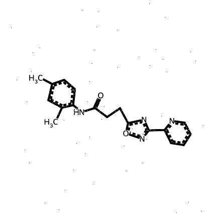 Cc1ccc(NC(=O)CCc2nc(-c3ccccn3)no2)c(C)c1